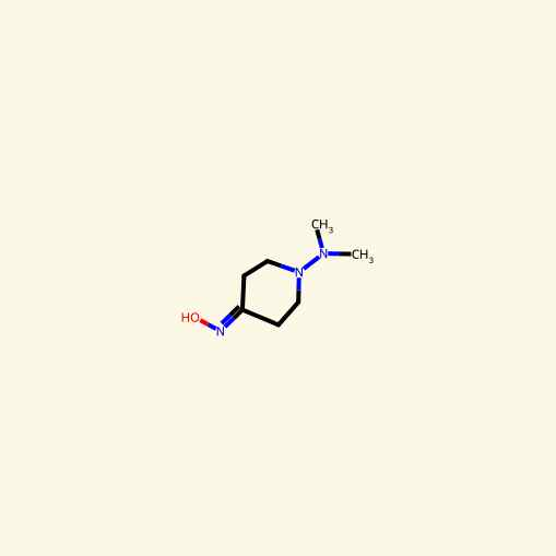 CN(C)N1CCC(=NO)CC1